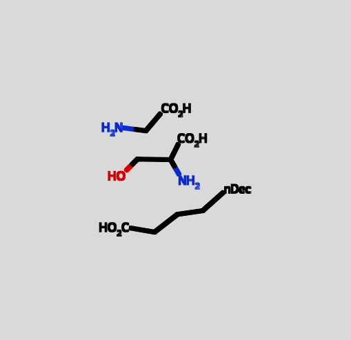 CCCCCCCCCCCCCC(=O)O.NC(CO)C(=O)O.NCC(=O)O